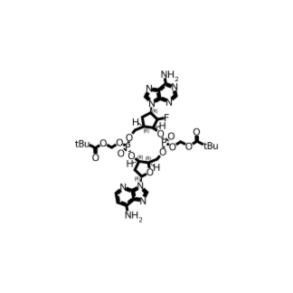 CC(C)(C)C(=O)OCOP1(=O)OC[C@H]2O[C@@H](n3cnc4c(N)ccnc43)C[C@H]2OP(=O)(OCOC(=O)C(C)(C)C)OC[C@H]2C[C@@H](n3cnc4c(N)ncnc43)C(F)[C@H]2O1